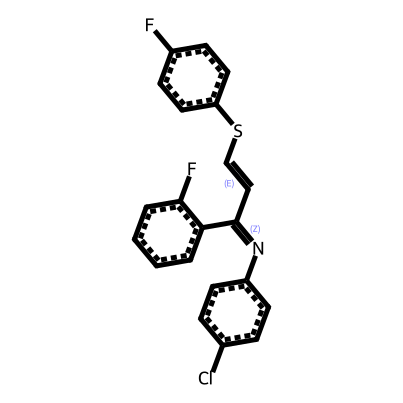 Fc1ccc(S/C=C/C(=N/c2ccc(Cl)cc2)c2ccccc2F)cc1